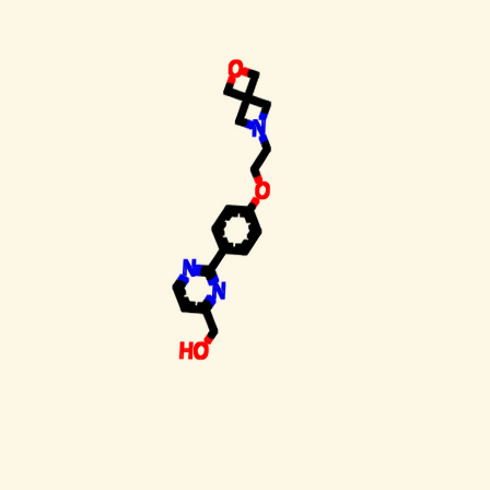 OCc1ccnc(-c2ccc(OCCN3CC4(COC4)C3)cc2)n1